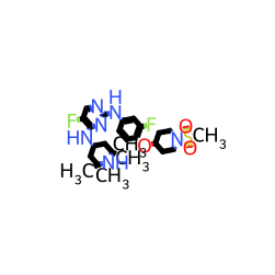 CC1(C)CC(Nc2nc(Nc3ccc(OC4CCN(S(C)(=O)=O)CC4)c(F)c3)ncc2F)CC(C)(C)N1